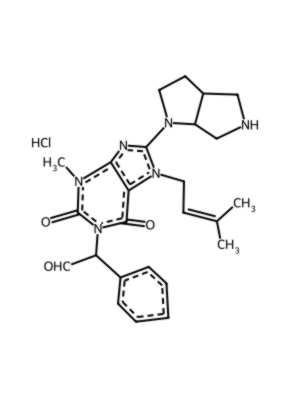 CC(C)=CCn1c(N2CCC3CNCC32)nc2c1c(=O)n(C(C=O)c1ccccc1)c(=O)n2C.Cl